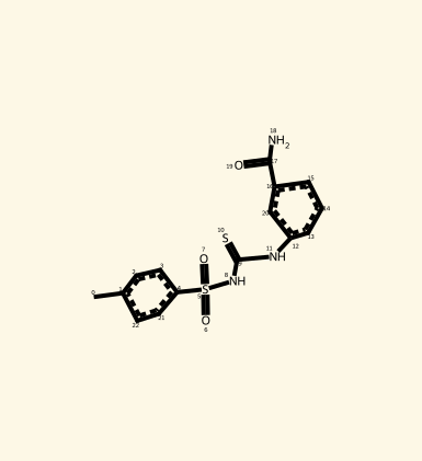 Cc1ccc(S(=O)(=O)NC(=S)Nc2cccc(C(N)=O)c2)cc1